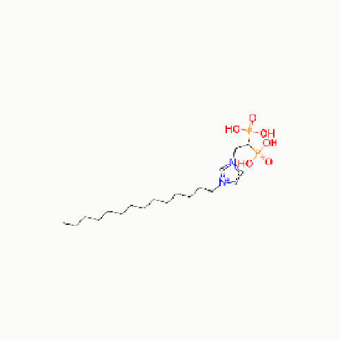 CCCCCCCCCCCCCC[n+]1ccn(CC(P(=O)(O)O)P(=O)(O)O)c1